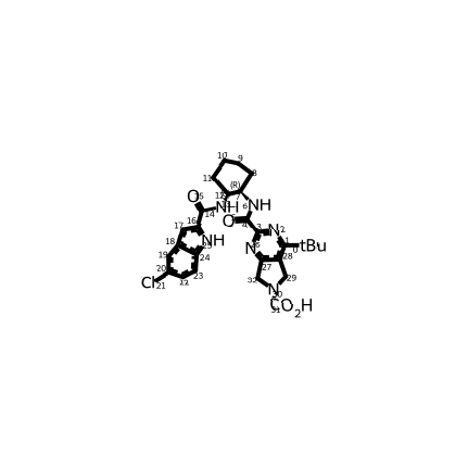 CC(C)(C)c1nc(C(=O)N[C@@H]2CCCC[C@@H]2NC(=O)c2cc3cc(Cl)ccc3[nH]2)nc2c1CN(C(=O)O)C2